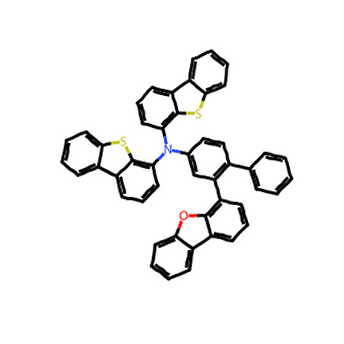 c1ccc(-c2ccc(N(c3cccc4c3sc3ccccc34)c3cccc4c3sc3ccccc34)cc2-c2cccc3c2oc2ccccc23)cc1